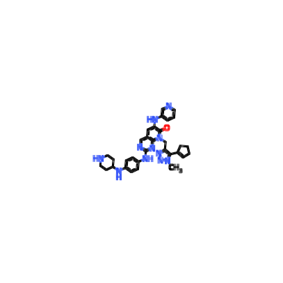 Cn1nnc(Cn2c(=O)c(Nc3cccnc3)cc3cnc(Nc4ccc(NC5CCNCC5)cc4)nc32)c1C1=CCCC1